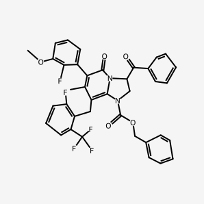 COc1cccc(-c2c(C)c(Cc3c(F)cccc3C(F)(F)F)c3n(c2=O)C(C(=O)c2ccccc2)CN3C(=O)OCc2ccccc2)c1F